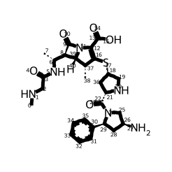 CNCC(=O)N[C@H](C)[C@H]1C(=O)N2C(C(=O)O)=C(S[C@@H]3CN[C@H](C(=O)N4C[C@@H](N)C[C@H]4c4ccccc4)C3)[C@H](C)[C@H]12